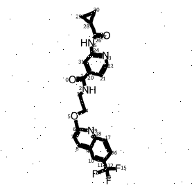 O=C(NCCOc1ccc2cc(C(F)(F)F)ccc2n1)c1ccnc(NC(=O)C2CC2)c1